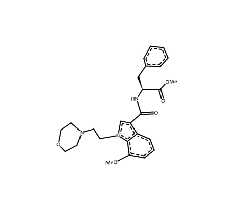 COC(=O)[C@H](Cc1ccccc1)NC(=O)c1cn(CCN2CCOCC2)c2c(OC)cccc12